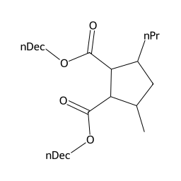 CCCCCCCCCCOC(=O)C1C(C)CC(CCC)C1C(=O)OCCCCCCCCCC